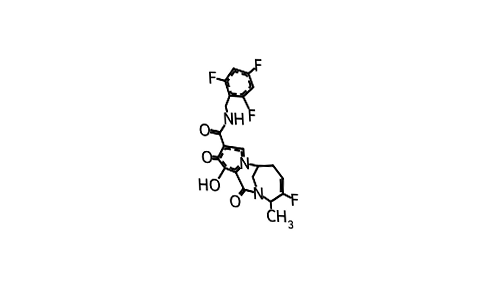 CC1C(F)=CCC2CN1C(=O)c1c(O)c(=O)c(C(=O)NCc3c(F)cc(F)cc3F)cn12